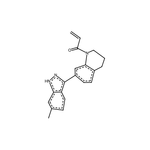 C=CC(=O)N1CCCc2ccc(-c3n[nH]c4cc(C)ccc34)cc21